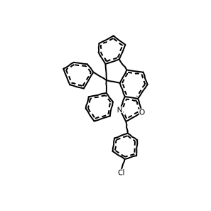 Clc1ccc(-c2nc3c4c(ccc3o2)-c2ccccc2C4(c2ccccc2)c2ccccc2)cc1